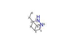 CCC12CC(C=NN1)C2C